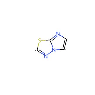 [c]1nn2[c]cnc2s1